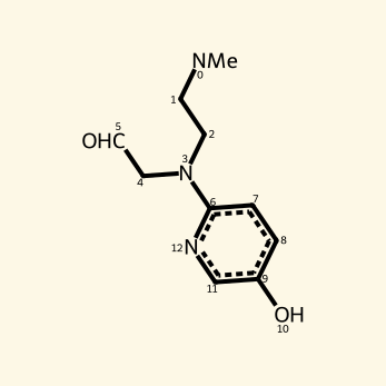 CNCCN(CC=O)c1ccc(O)cn1